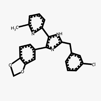 Cc1cccc(-c2[nH]c(Cc3cccc(Cl)c3)nc2-c2ccc3c(c2)OCO3)n1